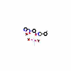 CC(C)(C)OC(=O)NC(=O)OC(C)(C)C.Cc1cccc(C2CCN(C(=O)c3cccc(N(Cc4cccnc4)C(=O)OC(C)(C)C)c3)CC2)c1